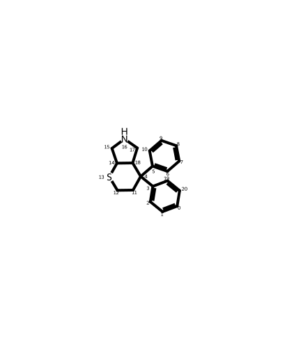 c1ccc(C2(c3ccccc3)CCSC3CNCC32)cc1